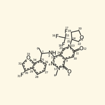 CC(Nc1nn(C)c(=O)c2cc(=O)n([C@@]3(C(F)(F)F)CCOC3)cc12)c1cccc2c(F)coc12